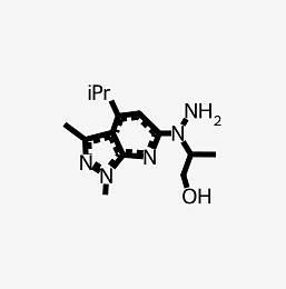 Cc1nn(C)c2nc(N(N)C(C)CO)cc(C(C)C)c12